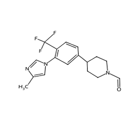 Cc1cn(-c2cc(C3CCN(C=O)CC3)ccc2C(F)(F)F)cn1